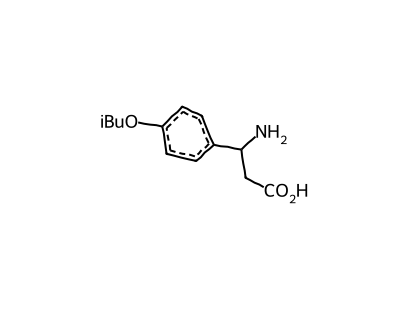 CC(C)COc1ccc(C(N)CC(=O)O)cc1